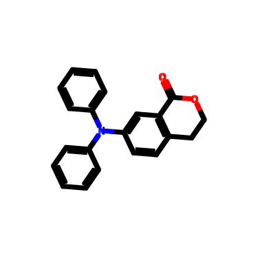 O=C1OCCc2ccc(N(c3ccccc3)c3ccccc3)cc21